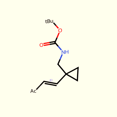 CC(=O)/C=C/C1(CNC(=O)OC(C)(C)C)CC1